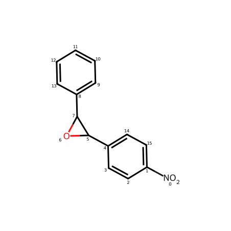 O=[N+]([O-])c1ccc(C2OC2c2ccccc2)cc1